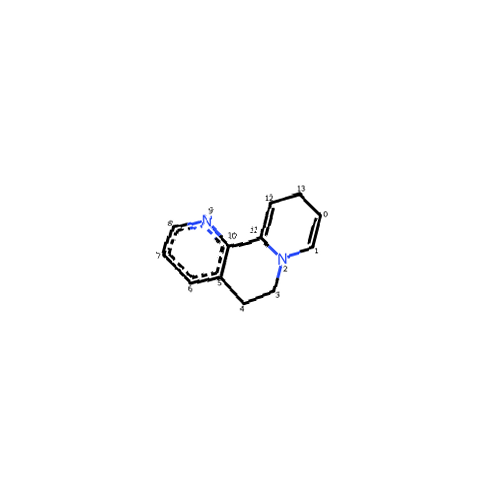 C1=CN2CCc3cccnc3C2=CC1